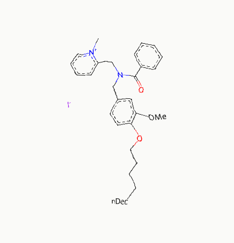 CCCCCCCCCCCCCCOc1ccc(CN(Cc2cccc[n+]2C)C(=O)c2ccccc2)cc1OC.[I-]